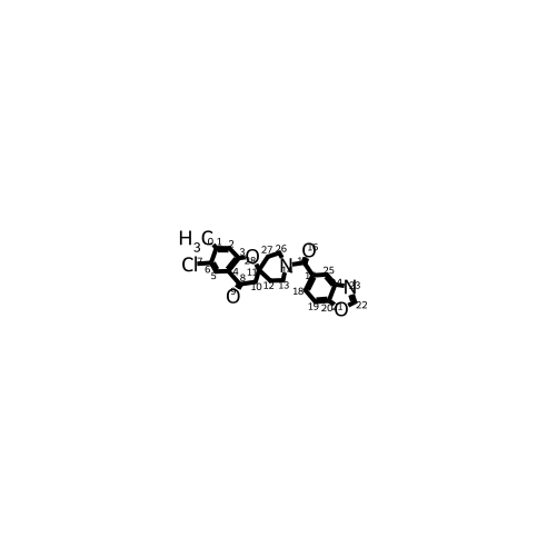 Cc1cc2c(cc1Cl)C(=O)CC1(CCN(C(=O)c3ccc4ocnc4c3)CC1)O2